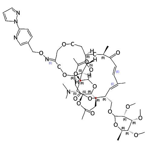 CC[C@H]1OC(=O)C[C@H]2OC/C(=N/OCc3ccc(-n4cccn4)nc3)COCC[C@@H](C[C@@H](C)C(=O)/C=C/C(C)=C/[C@@H]1COC1O[C@H](C)[C@@H](OC)[C@@H](OC)[C@H]1OC)[C@H](OC1O[C@H](C)[C@@H](OC(C)=O)[C@H](N(C)C)[C@H]1OC(C)=O)[C@H]2C